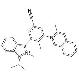 Cc1c(-c2c3ccccc3n(C(C)C)[n+]2C)cc(C#N)cc1-[n+]1cc2ccccc2cc1C